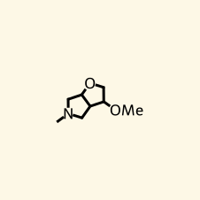 COC1COC2CN(C)CC12